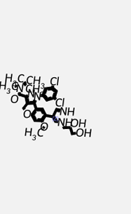 COc1cc2c(cc1/C(C=N)=C/NCC(O)CO)-c1c(c(C(=O)N(C)C(C)(C)C)nn1-c1cc(Cl)cc(Cl)c1)CO2